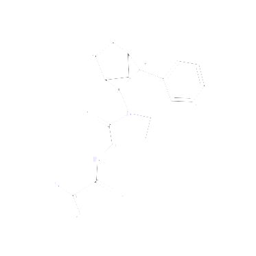 CCN(C(=O)CNC(=O)C(C)N)C1C2CCC(C2)C1c1ccccc1